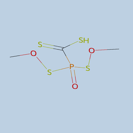 COSP(=O)(SOC)C(=S)S